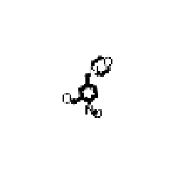 O=Cc1cc(CN2CCOCC2)ccc1N=O